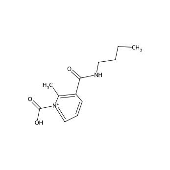 CCCCNC(=O)c1ccc[n+](C(=O)O)c1C